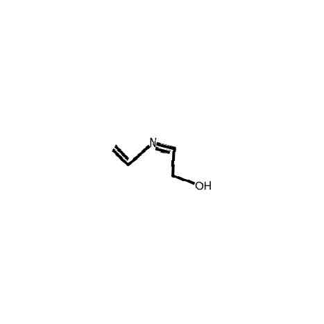 C=C/N=C\CO